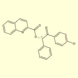 O=C(O[C@H](C(=O)c1ccc(Cl)cc1)c1ccccc1)c1ccc2ccccc2n1